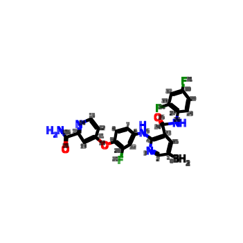 Bc1cnc(Nc2ccc(Oc3ccnc(C(N)=O)c3)c(F)c2)c(C(=O)Nc2ccc(F)cc2F)c1